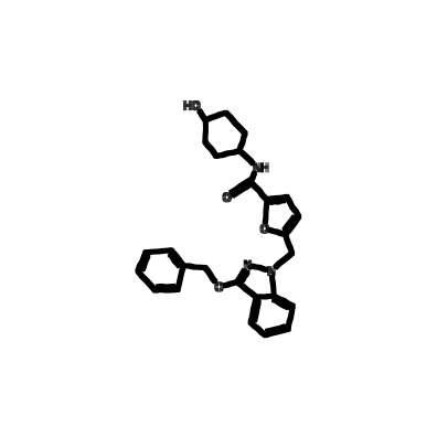 O=C(NC1CCC(O)CC1)c1ccc(Cn2nc(OCc3ccccc3)c3ccccc32)o1